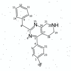 Fc1ccc(-c2nc(Cc3ccccc3)nc3c2CCNC3)cc1